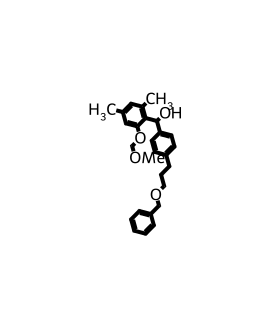 COCOc1cc(C)cc(C)c1C(O)c1ccc(CCCOCc2ccccc2)cc1